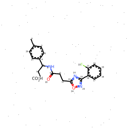 Cc1ccc(C(CC(=O)O)NC(=O)CCc2nc(-c3ccccc3F)no2)cc1